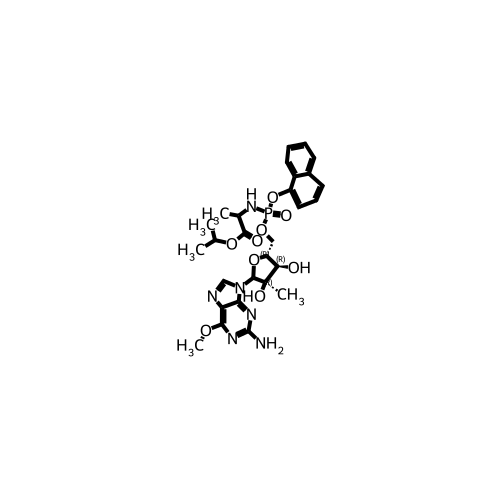 COc1nc(N)nc2c1ncn2C1O[C@H](COP(=O)(NC(C)C(=O)OC(C)C)Oc2cccc3ccccc23)[C@@H](O)[C@@]1(C)O